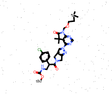 CC(C)(C)OC(=O)NCC(C(=O)N1Cc2cn(-c3ncnc4c3C(C)(C)C(=O)N4COCC[Si](C)(C)C)nc2C1)c1ccc(Cl)cc1